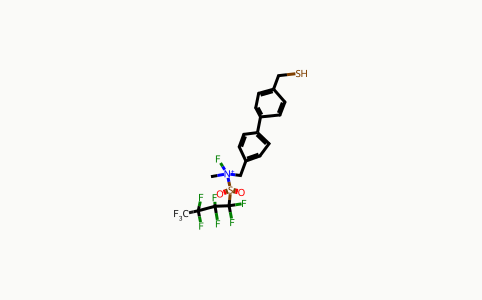 C[N+](F)(Cc1ccc(-c2ccc(CS)cc2)cc1)S(=O)(=O)C(F)(F)C(F)(F)C(F)(F)C(F)(F)F